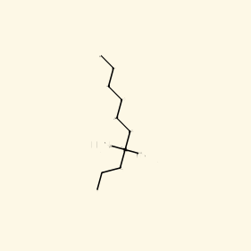 CCCCCCC(N)(N)CCC